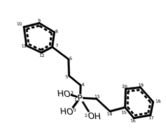 OP(O)(O)(CCCc1ccccc1)CCc1ccccc1